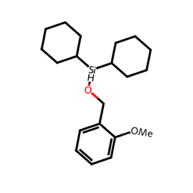 COc1ccccc1CO[SiH](C1CCCCC1)C1CCCCC1